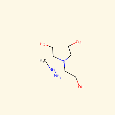 CN.N.OCCN(CCO)CCO